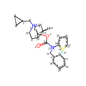 O=C(O[C@H]1C[N+]2(CC3CC3)CCC1CC2)N(Cc1ccccc1F)c1cccs1